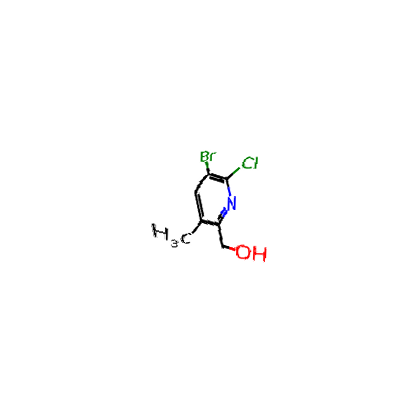 Cc1cc(Br)c(Cl)nc1CO